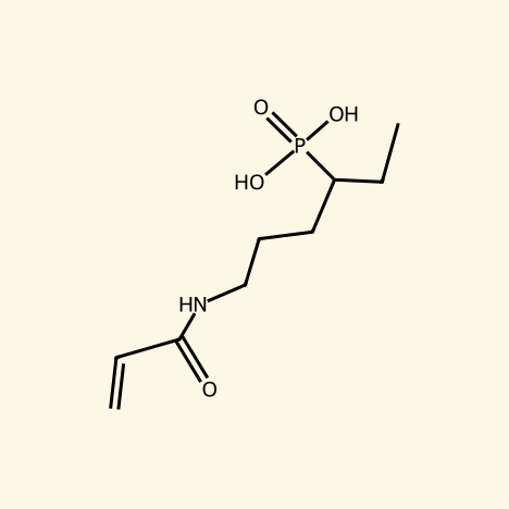 C=CC(=O)NCCCC(CC)P(=O)(O)O